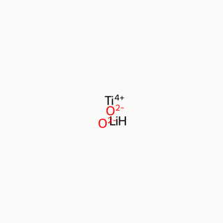 [LiH].[O-2].[O-2].[Ti+4]